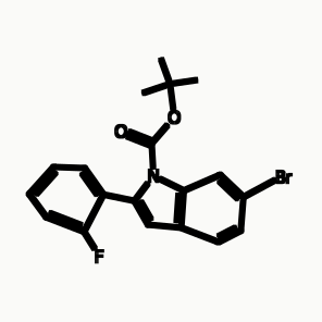 CC(C)(C)OC(=O)n1c(-c2ccccc2F)cc2ccc(Br)cc21